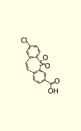 O=C(O)c1ccc2c(c1)S(=O)(=O)c1ccc(Cl)cc1C=C2